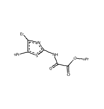 CCCOC(=O)C(=O)Nc1nc(CC)c(CCC)s1